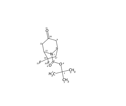 CC(C)(C)OC(=O)N1C2CC(=O)CC1C(F)(F)C2